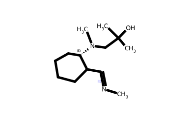 C/N=C/C1CCCC[C@@H]1N(C)CC(C)(C)O